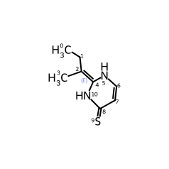 CC/C(C)=C1\NC=CC(=S)N1